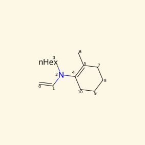 C=CN(CCCCCC)C1=C(C)CCCC1